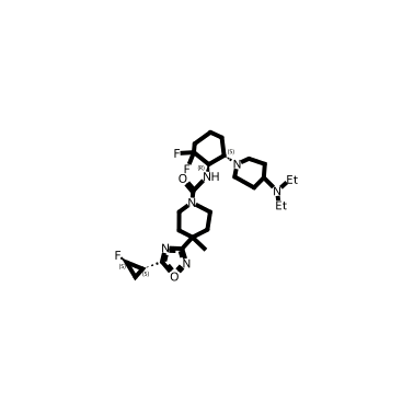 CCN(CC)C1CCN([C@H]2CCCC(F)(F)[C@@H]2NC(=O)N2CCC(C)(c3noc([C@@H]4C[C@@H]4F)n3)CC2)CC1